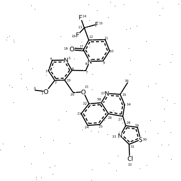 COc1ccnc(Cn2cccc(C(F)(F)F)c2=O)c1COc1cccc2c(-c3csc(Cl)n3)cc(C)nc12